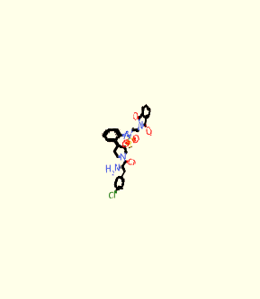 CS(=O)(=O)N(CCN1C(=O)c2ccccc2C1=O)c1ccccc1C1CCN(C(=O)[C@H](N)Cc2ccc(Cl)cc2)CC1